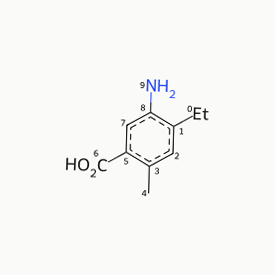 CCc1cc(C)c(C(=O)O)cc1N